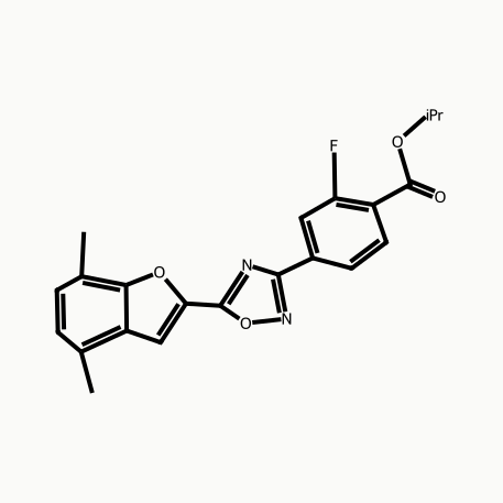 Cc1ccc(C)c2oc(-c3nc(-c4ccc(C(=O)OC(C)C)c(F)c4)no3)cc12